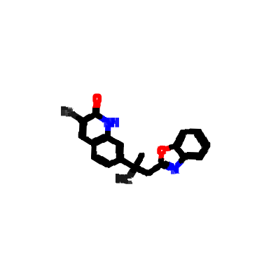 CCc1cc2ccc(C(C)(C#N)Cc3nc4ccccc4o3)cc2[nH]c1=O